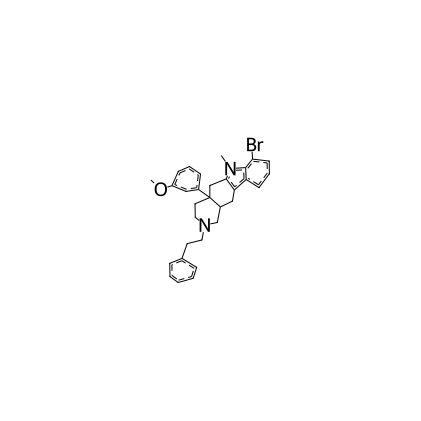 COc1cccc(C23CCN(CCc4ccccc4)CC2Cc2c(n(C)c4c(Br)cccc24)C3)c1